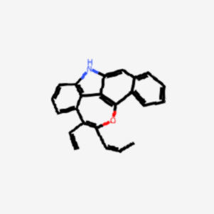 C=Cc1c(/C=C\C)oc2c3ccccc3cc3[nH]c4cccc1c4c32